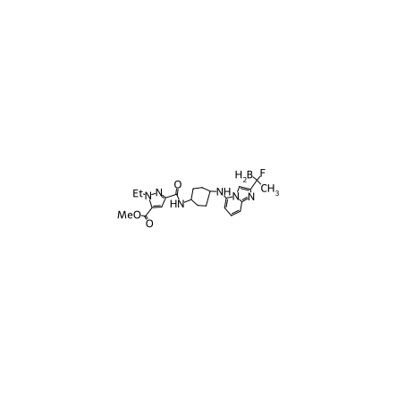 BC(C)(F)c1cn2c(NC3CCC(NC(=O)c4cc(C(=O)OC)n(CC)n4)CC3)cccc2n1